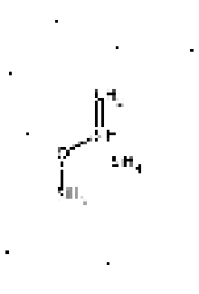 C=[SiH]O[SiH3].[SiH4]